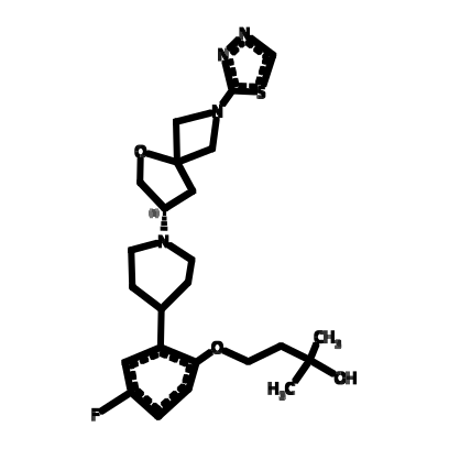 CC(C)(O)CCOc1ccc(F)cc1C1CCN([C@@H]2COC3(C2)CN(c2nncs2)C3)CC1